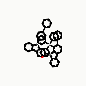 c1ccc(-c2ccc(-n3c4ccccc4c4ccc(-n5c6ccccc6c6ccc(-c7ccccc7)c([Si](c7ccccc7)(c7ccccc7)c7ccccc7)c65)cc43)cc2)cc1